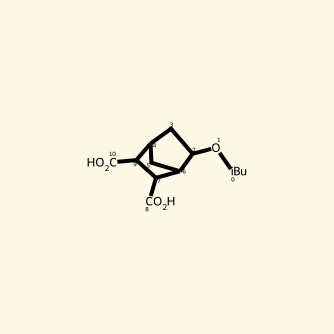 CCC(C)OC1CC2CC1C(C(=O)O)C2C(=O)O